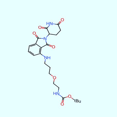 CC(C)(C)OC(=O)NCCOCCCNc1cccc2c1C(=O)N(C1CCC(=O)NC1=O)C2=O